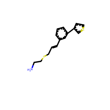 NCCSCC=Cc1cccc(-c2ccsc2)c1